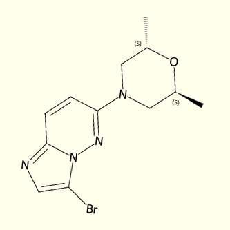 C[C@H]1CN(c2ccc3ncc(Br)n3n2)C[C@H](C)O1